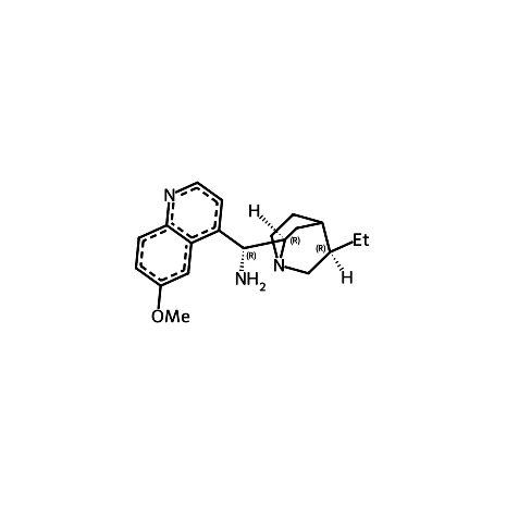 CC[C@H]1CN2CCC1C[C@@H]2[C@H](N)c1ccnc2ccc(OC)cc12